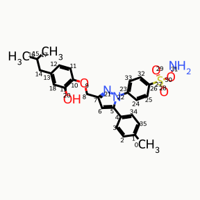 Cc1ccc(-c2cc(COc3ccc(CC(C)C)cc3O)nn2-c2ccc(S(=O)(=O)ON)cc2)cc1